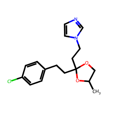 CC1COC(CCc2ccc(Cl)cc2)(CCn2ccnc2)O1